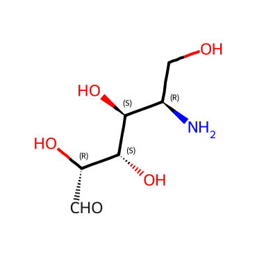 N[C@H](CO)[C@H](O)[C@H](O)[C@@H](O)C=O